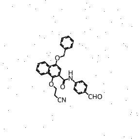 N#CCCOc1c(C(=O)Nc2ccc(C=O)cc2)cc(OCc2ccccc2)c2ccccc12